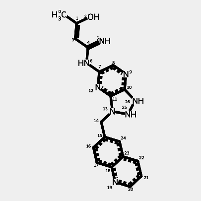 C/C(O)=C/C(=N)Nc1cnc2c(n1)N(Cc1ccc3ncccc3c1)NN2